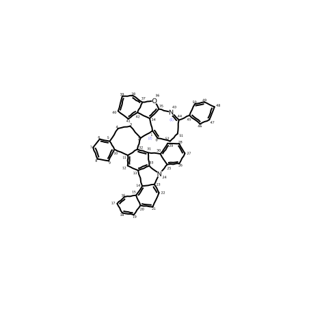 C1=C(/C2CCc3ccccc3-c3cc4c5c6ccccc6ccc5n5c6ccccc6c(c32)c45)c2c(oc3ccccc23)/N=C(/c2ccccc2)CC/1